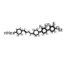 CCCCCCC1CCC(/C=C/CCC2CCC(c3ccc(-c4ccc(OCC)c(F)c4F)c(F)c3F)CC2)CC1